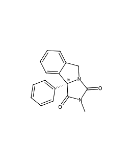 CN1C(=O)N2Cc3ccccc3[C@]2(c2ccccc2)C1=O